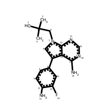 CC(C)(O)Cn1cc(-c2ccc(N)c(F)c2)c2c(N)ncnc21